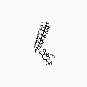 NC(=O)C(CSC(F)(F)C(F)(F)C(F)(F)C(F)(F)C(F)(F)C(F)(F)C(F)(F)C(F)(F)F)CC(=O)O